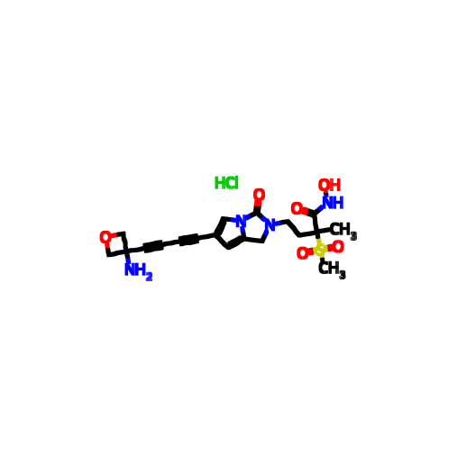 CC(CCN1Cc2cc(C#CC#CC3(N)COC3)cn2C1=O)(C(=O)NO)S(C)(=O)=O.Cl